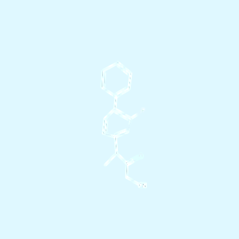 CC(C(=O)CC#N)c1ccc(-c2ccccc2)c(F)c1